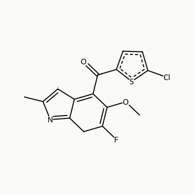 COC1=C(F)CC2=NC(C)=[C]C2=C1C(=O)c1ccc(Cl)s1